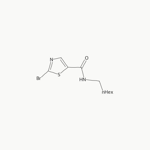 CCCCCCCNC(=O)c1cnc(Br)s1